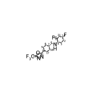 Fc1ccc(NCc2ccc(-c3nnc(C(F)(F)F)o3)cc2)c(F)c1